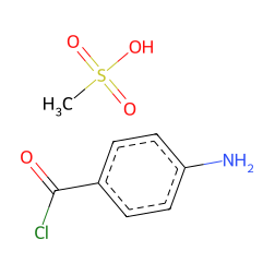 CS(=O)(=O)O.Nc1ccc(C(=O)Cl)cc1